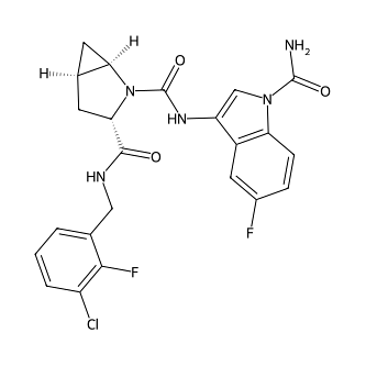 NC(=O)n1cc(NC(=O)N2[C@@H]3C[C@@H]3C[C@H]2C(=O)NCc2cccc(Cl)c2F)c2cc(F)ccc21